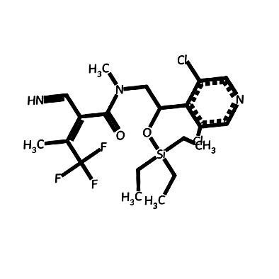 CC[Si](CC)(CC)OC(CN(C)C(=O)/C(C=N)=C(/C)C(F)(F)F)c1c(Cl)cncc1Cl